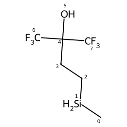 C[SiH2]CCC(O)(C(F)(F)F)C(F)(F)F